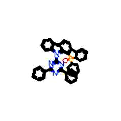 O=P1(c2ccccc2)c2ccccc2-c2ccc3c4ccccc4n(-c4nc(-c5ccccc5)nc(-c5ccccc5)n4)c3c21